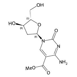 COC(=O)c1cn([C@H]2C[C@@H](O)[C@H](CO)O2)c(=O)nc1N